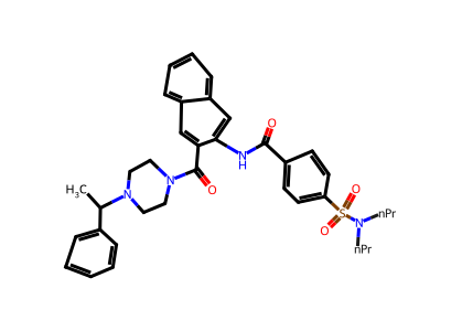 CCCN(CCC)S(=O)(=O)c1ccc(C(=O)Nc2cc3ccccc3cc2C(=O)N2CCN(C(C)c3ccccc3)CC2)cc1